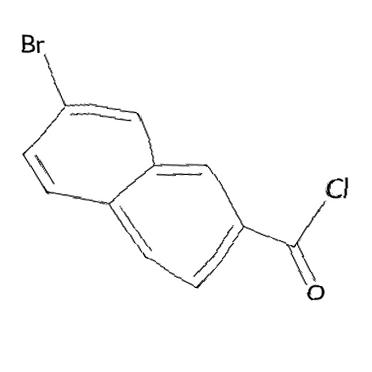 O=C(Cl)c1ccc2ccc(Br)cc2c1